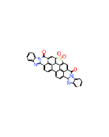 O=c1c2cc3c4c5c(cc6c(=O)n7c8ccccc8nc7c7ccc(c8ccc(c2c84)c2nc4ccccc4n12)c5c67)S3(=O)=O